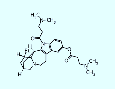 CC[C@H]1C[C@H]2C[C@H]3c4c(c5cc(OC(=O)CCN(C)C)ccc5n4C(=O)CCN(C)C)CCN(C2)C13